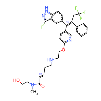 CN(CCO)C(=O)/C=C/CCNCCOc1ccc(/C(=C(/CC(F)(F)F)c2ccccc2)c2ccc3[nH]nc(F)c3c2)cn1